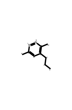 CCCc1cc(C)nnc1C